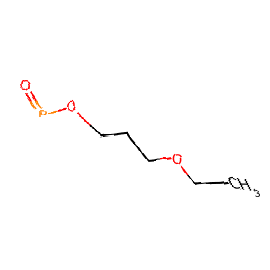 CCOCCCOP=O